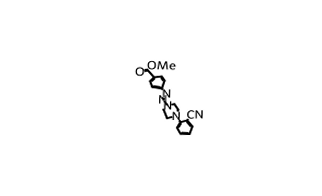 COC(=O)c1ccc(N=NN2CCN(c3ccccc3C#N)CC2)cc1